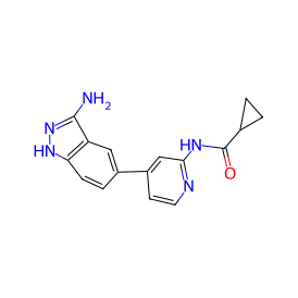 Nc1n[nH]c2ccc(-c3ccnc(NC(=O)C4CC4)c3)cc12